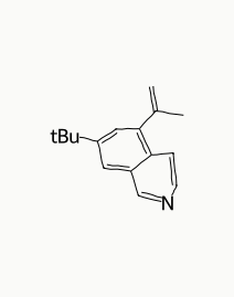 C=C(C)c1cc(C(C)(C)C)cc2cnccc12